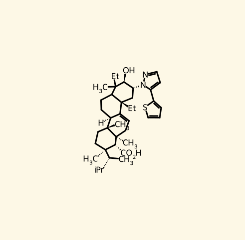 CCC1(C)C2CC[C@H]3C(=CC[C@@]4(C)[C@H](C(=O)O)[C@@](C)([C@H](C)C(C)C)CC[C@]34C)[C@@]2(CC)C[C@@H](n2nccc2-c2cccs2)[C@@H]1O